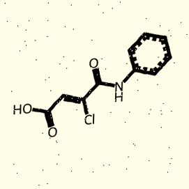 O=C(O)C=C(Cl)C(=O)Nc1ccccc1